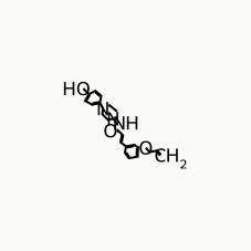 C=CCOc1cccc(C=CC(=O)NN2CCN(c3ccc(O)cc3)CC2)c1